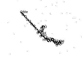 CC[C@@]1(O)C(=O)OCc2c1cc1n(c2=O)Cc2cc3c(CN4CCC(NC(=O)CCCNC(=O)C(CCC(=O)NCCOCCOCCOCCOCCOCCOCCOCCOC)NC(=O)CCCN5C(=O)C=CC5=O)CC4)c(O)ccc3nc2-1